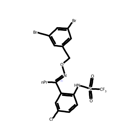 CCC/C(=N\OCc1cc(Br)cc(Br)c1)c1cc(Cl)ccc1NS(=O)(=O)C(F)(F)F